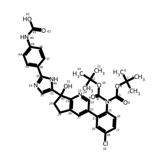 CC(C)(C)OC(=O)N(C(=O)OC(C)(C)C)c1ccc(Cl)cc1-c1cnc2c(c1)CCC2(O)c1cnc(-c2ccc(NC(=O)O)cc2)[nH]1